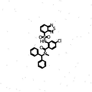 CN(C(=O)c1ccc(Cl)cc1NS(=O)(=O)c1cccc2nsnc12)C(c1ccccc1)c1ccccc1